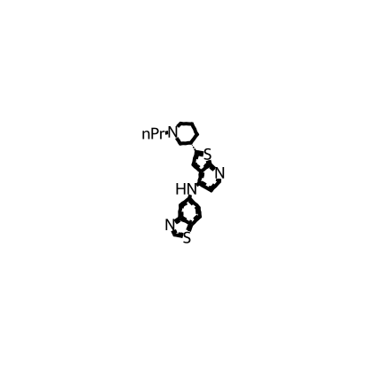 CCCN1CCC[C@H](c2cc3c(Nc4ccc5scnc5c4)ccnc3s2)C1